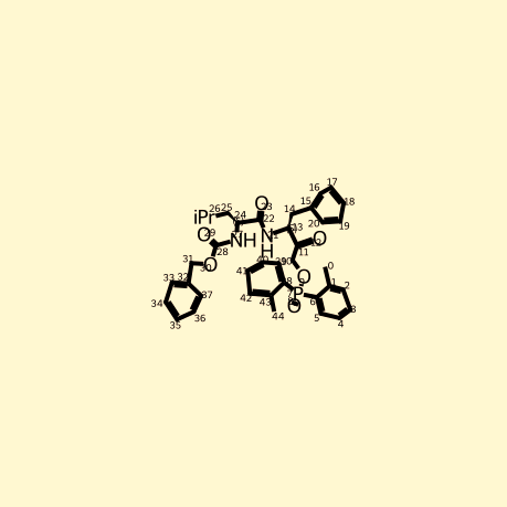 Cc1ccccc1P(=O)(OCC(=O)[C@H](Cc1ccccc1)NC(=O)[C@H](CC(C)C)NC(=O)OCc1ccccc1)c1ccccc1C